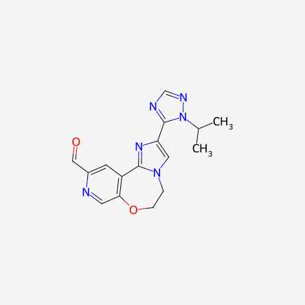 CC(C)n1ncnc1-c1cn2c(n1)-c1cc(C=O)ncc1OCC2